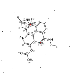 CCNC(=O)c1cccc(C(F)(F)F)c1N1C(N2CC(C)NC2=O)=NC=C(OC(=O)O)C1N